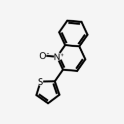 [O-][n+]1c(-c2cccs2)ccc2ccccc21